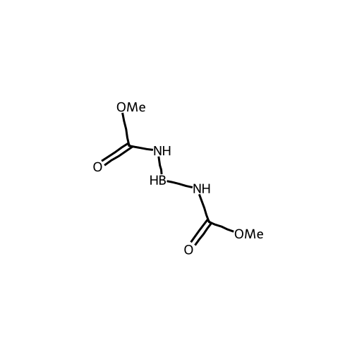 COC(=O)NBNC(=O)OC